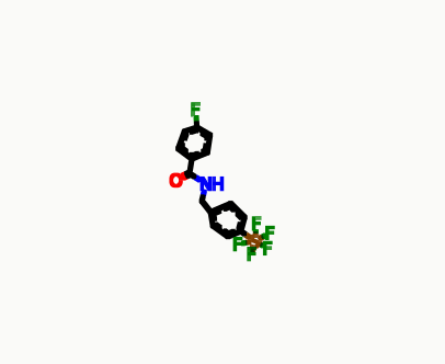 O=C(NCc1ccc(S(F)(F)(F)(F)F)cc1)c1ccc(F)cc1